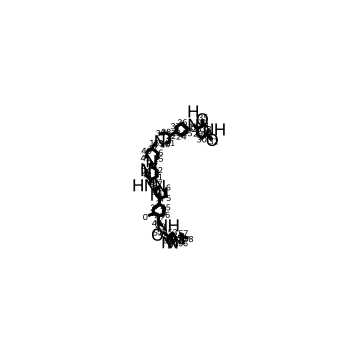 Cc1cc(-c2ccnc(Nc3ccc(N4CCC(CN5CCC(c6ccc(NC7CCC(=O)NC7=O)cc6)CC5)CC4)nc3)n2)ccc1CNC(=O)c1cn(C(C)(C)C)nn1